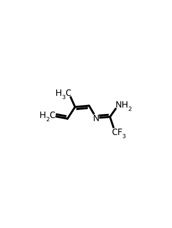 C=C/C(C)=C\N=C(/N)C(F)(F)F